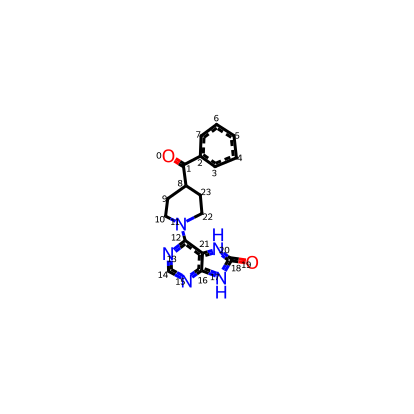 O=C(c1ccccc1)C1CCN(c2ncnc3[nH]c(=O)[nH]c23)CC1